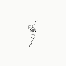 CCCCCc1cnc([C@H]2CC[C@H](CCCCC)CC2)nc1F